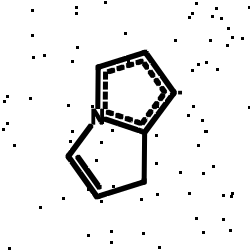 [c]1ccn2c1CC=C2